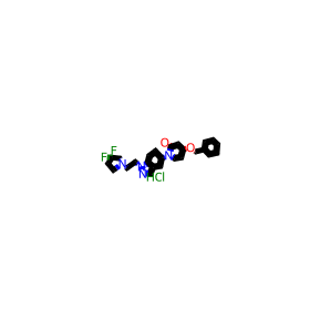 Cl.O=c1cc(OCc2ccccc2)ccn1-c1ccc2c(cnn2CCN2CCC(F)(F)C2)c1